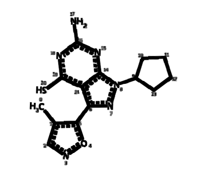 Cc1cnoc1-c1nn(C2CCCC2)c2nc(N)nc(S)c12